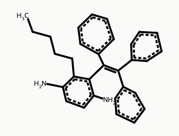 CCCCCc1c(N)ccc(N)c1C(=C(c1ccccc1)c1ccccc1)c1ccccc1